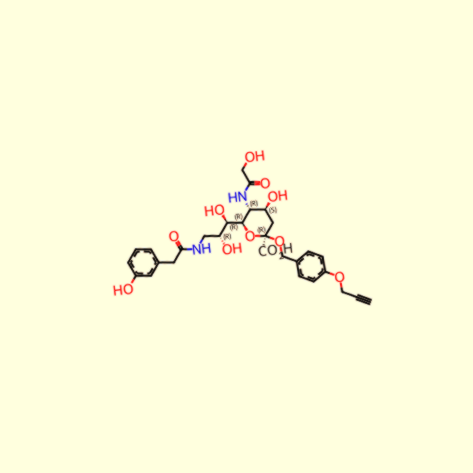 C#CCOc1ccc(CO[C@]2(C(=O)O)C[C@H](O)[C@@H](NC(=O)CO)[C@H]([C@H](O)[C@H](O)CNC(=O)Cc3cccc(O)c3)O2)cc1